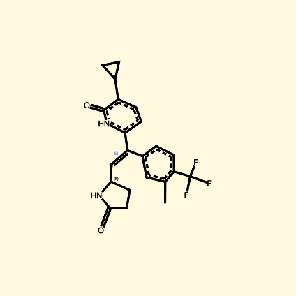 Cc1cc(/C(=C\[C@H]2CCC(=O)N2)c2ccc(C3CC3)c(=O)[nH]2)ccc1C(F)(F)F